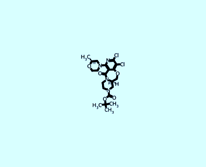 C[C@H]1CN(c2nc(Cl)c(Cl)c3c2C(=O)N2CCN(C(=O)OC(C)(C)C)C[C@@H]2CO3)CCO1